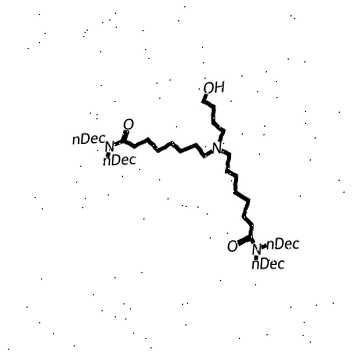 CCCCCCCCCCN(CCCCCCCCCC)C(=O)CCCCCCCN(CCCCO)CCCCCCCC(=O)N(CCCCCCCCCC)CCCCCCCCCC